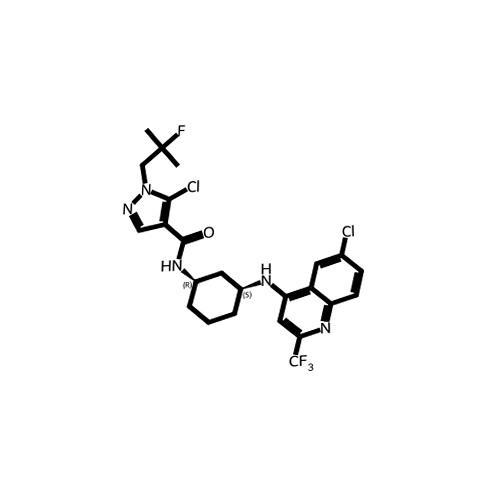 CC(C)(F)Cn1ncc(C(=O)N[C@@H]2CCC[C@H](Nc3cc(C(F)(F)F)nc4ccc(Cl)cc34)C2)c1Cl